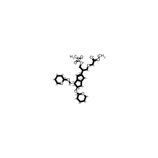 COC(=O)COCC(COS(C)(=O)=O)C1=CC2C(C1)C[C@@H](OC1CCCCO1)[C@@H]2COC1CCCCO1